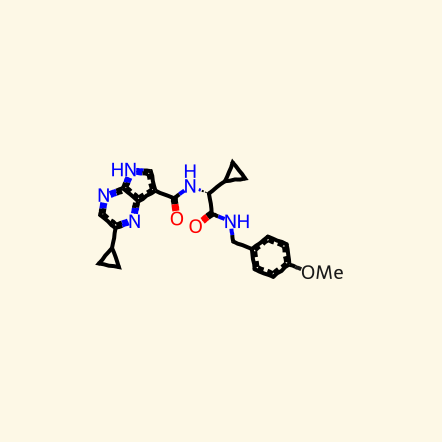 COc1ccc(CNC(=O)[C@H](NC(=O)c2c[nH]c3ncc(C4CC4)nc23)C2CC2)cc1